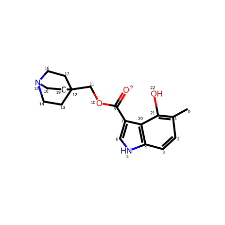 Cc1ccc2[nH]cc(C(=O)OCC34CCN(CC3)CC4)c2c1O